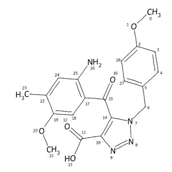 COc1ccc(Cn2nnc(C(=O)O)c2C(=O)c2cc(OC)c(C)cc2N)cc1